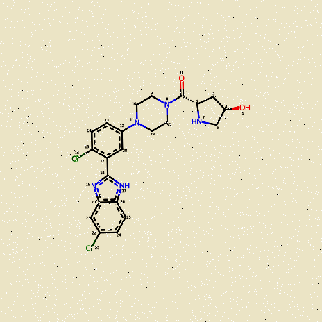 O=C([C@@H]1C[C@@H](O)CN1)N1CCN(c2ccc(Cl)c(-c3nc4cc(Cl)ccc4[nH]3)c2)CC1